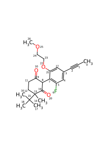 CC#Cc1cc(F)c(C2C(=O)CCC(C)(C(C)(C)C)C2=O)c(OCCOC)c1